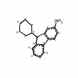 Nc1ccc2c(c1)C(C1CCCCC1)c1ccccc1-2